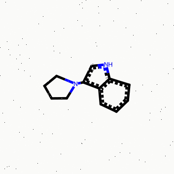 c1ccc2c(N3CCCC3)c[nH]c2c1